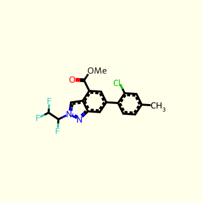 COC(=O)c1cc(-c2ccc(C)cc2Cl)cc2nn(C(F)C(F)F)cc12